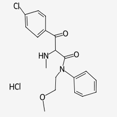 CNC(C(=O)c1ccc(Cl)cc1)C(=O)N(CCOC)c1ccccc1.Cl